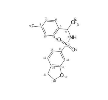 O=S(=O)(NC(c1ccc(F)cc1)C(F)(F)F)c1ccc2c(c1)OCC2